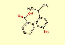 CC(C)c1ccc(O)cc1.O=C(O)c1ccccc1